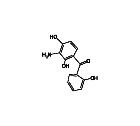 Nc1c(O)ccc(C(=O)c2ccccc2O)c1O